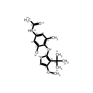 COc1csc(Oc2c(C)cc(NC(C)=O)cc2Cl)c1C(C)(C)C